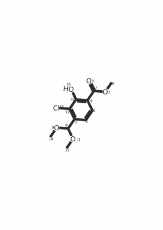 COC(=O)c1ccc(C(OC)OC)c(Cl)c1O